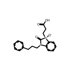 O=C(O)CC[N+]1([O-])C(=O)N(CCCc2ccccc2)c2ccccc21